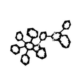 c1ccc(-c2c(-c3ccccc3)c(-c3ccccc3)c3c(c2-c2ccccc2)c2ccccc2n3-c2cccc(-c3nc(-c4ccccc4)c4ccccc4n3)c2)cc1